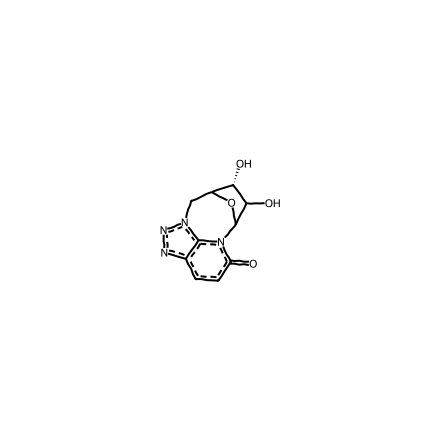 O=c1ccc2nnn3c2n1C1OC(C3)[C@H](O)C1O